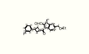 CCOCc1ncc2c(n1)N(C)C(C=O)N2C(=O)N1CC(c2cccc(F)c2)C1